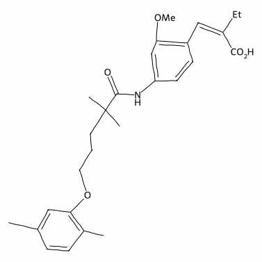 CCC(=Cc1ccc(NC(=O)C(C)(C)CCCOc2cc(C)ccc2C)cc1OC)C(=O)O